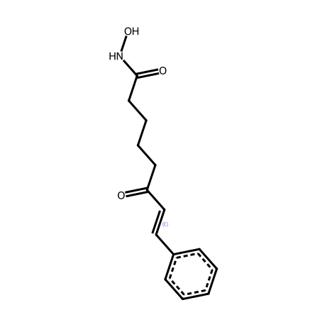 O=C(/C=C/c1ccccc1)CCCCC(=O)NO